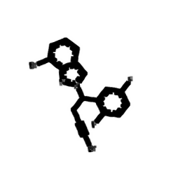 Fc1ccc(F)c(C(CC#CBr)n2cc3cccc(Br)c3n2)c1